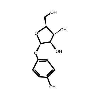 OC[C@@H]1O[C@H](Oc2ccc(O)cc2)[C@H](O)[C@H]1O